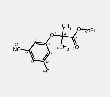 CC(C)(C)OC(=O)C(C)(C)Oc1cc(Cl)cc(C#N)c1